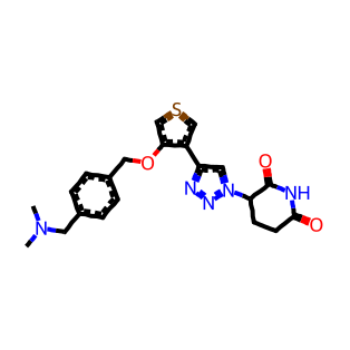 CN(C)Cc1ccc(COc2cscc2-c2cn(C3CCC(=O)NC3=O)nn2)cc1